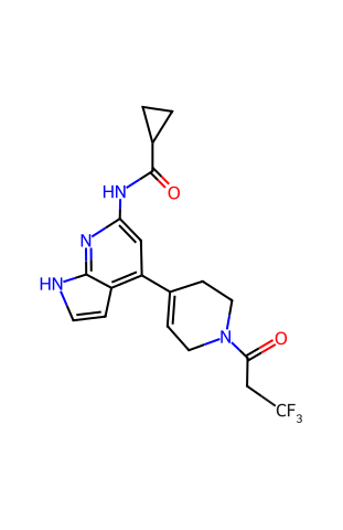 O=C(Nc1cc(C2=CCN(C(=O)CC(F)(F)F)CC2)c2cc[nH]c2n1)C1CC1